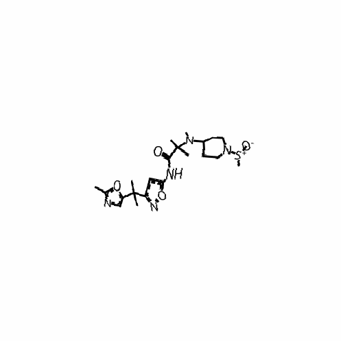 Cc1ncc(C(C)(C)c2cc(NC(=O)C(C)(C)N(C)C3CCN([S+](C)[O-])CC3)on2)o1